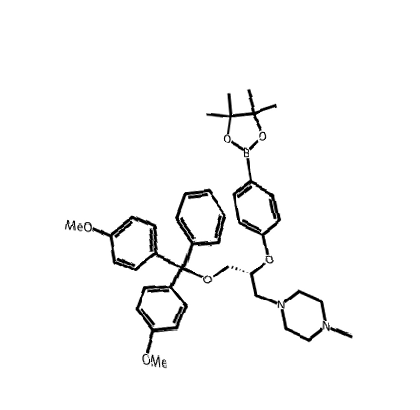 COc1ccc(C(OC[C@@H](CN2CCN(C)CC2)Oc2ccc(B3OC(C)(C)C(C)(C)O3)cc2)(c2ccccc2)c2ccc(OC)cc2)cc1